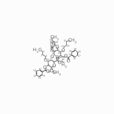 CCCCOC1[C@H](O[C@H]2OC(COC(=O)c3ccccc3)[C@@H](OCCCC)[C@H](OCCCC)C2N=[N+]=[N-])C(C(=O)OC)O[C@@H](OC)[C@H]1OC(=O)c1ccccc1